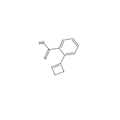 O=C(O)c1ccccc1C1=CCC1